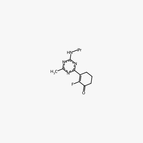 Cc1nc(NC(C)C)nc(C2=C(F)C(=O)CCC2)n1